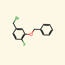 Fc1ccc(CBr)cc1OCc1ccccc1